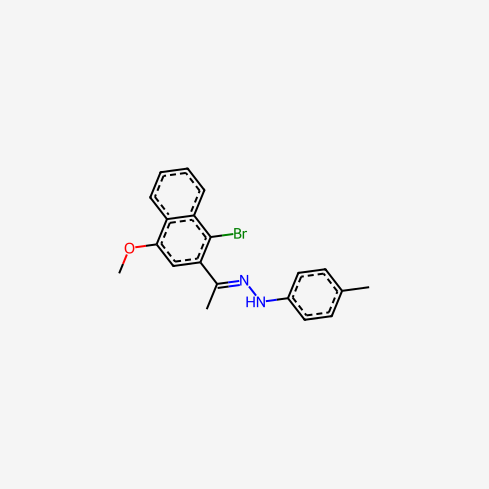 COc1cc(C(C)=NNc2ccc(C)cc2)c(Br)c2ccccc12